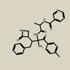 CC(NC(=O)c1cccnc1)C(=O)NC(N)(C(=O)c1ccc(F)cc1)C(Cc1ccccc1)C1CNC1=O